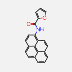 O=C(Nc1ccc2ccc3cccc4ccc1c2c34)c1ccco1